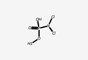 O=P(O)(OS)N(Cl)Cl